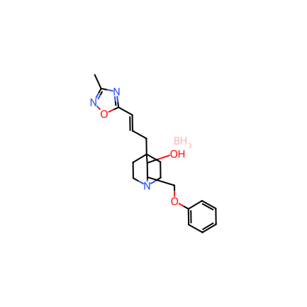 B.Cc1noc(C=CCC23CCN(CC2)C(COc2ccccc2)C3O)n1